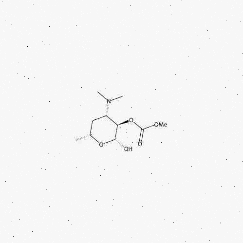 COC(=O)O[C@H]1[C@H](O)O[C@H](C)C[C@@H]1N(C)C